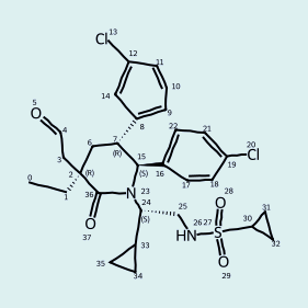 CC[C@]1(CC=O)C[C@H](c2cccc(Cl)c2)[C@@H](c2ccc(Cl)cc2)N([C@H](CNS(=O)(=O)C2CC2)C2CC2)C1=O